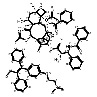 CC(=O)O[C@H]1C(=O)[C@@]2(C)[C@H]([C@H](OC(=O)c3ccccc3)[C@]3(O)C[C@H](OC(=O)[C@H](O)[C@@H](NC(=O)c4ccccc4)c4ccccc4)C(C)=C1C3(C)C)[C@]1(OC(C)=O)CO[C@@H]1C[C@@H]2O.CC/C(=C(\c1ccccc1)c1ccc(OCCN(C)C)cc1)c1ccccc1